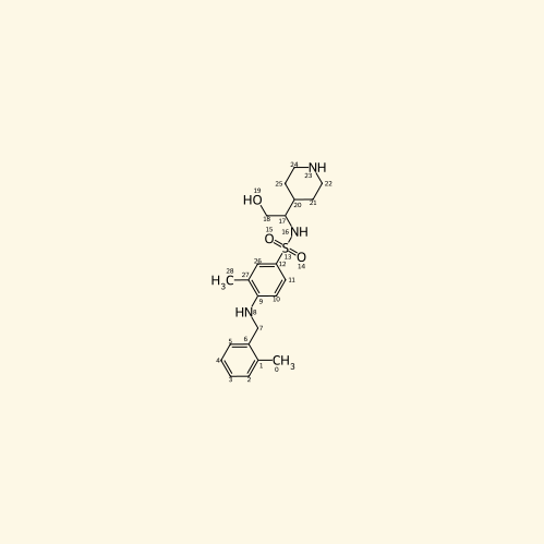 Cc1ccccc1CNc1ccc(S(=O)(=O)NC(CO)C2CCNCC2)cc1C